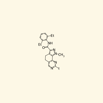 CCc1cccc(CC)c1NC(=O)c1nn(C)c2c1CCc1cnc(I)nc1-2